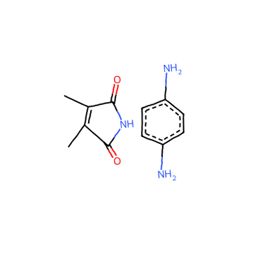 CC1=C(C)C(=O)NC1=O.Nc1ccc(N)cc1